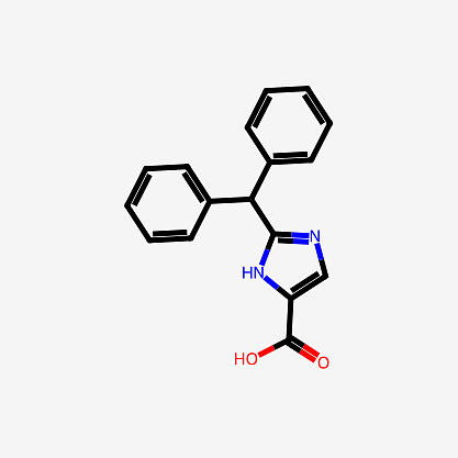 O=C(O)c1cnc(C(c2ccccc2)c2ccccc2)[nH]1